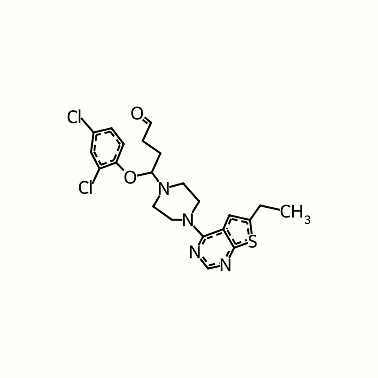 CCc1cc2c(N3CCN(C(CCC=O)Oc4ccc(Cl)cc4Cl)CC3)ncnc2s1